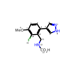 COc1ccc(-c2cn[nH]c2)c(CNC(=O)O)c1F